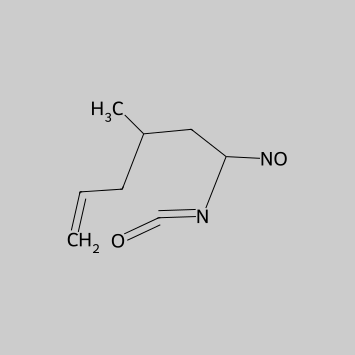 C=CCC(C)CC(N=O)N=C=O